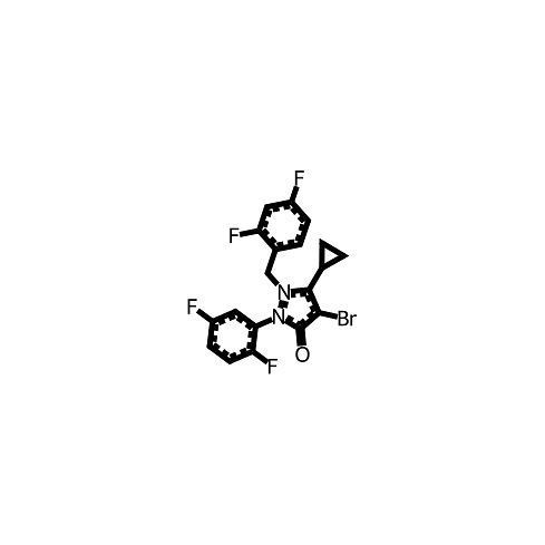 O=c1c(Br)c(C2CC2)n(Cc2ccc(F)cc2F)n1-c1cc(F)ccc1F